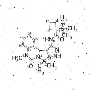 CN(C(=O)N1Cc2c(NC(=O)C3(S(C)(C)C)CCC3)n[nH]c2C1(C)C)c1ccccc1